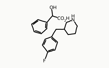 Fc1ccc(CC2CCCNC2)cc1.O=C(O)C(O)c1ccccc1